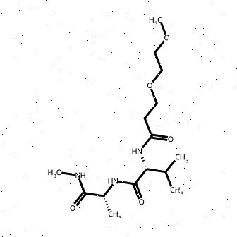 CNC(=O)[C@@H](C)NC(=O)[C@H](NC(=O)CCOCCOC)C(C)C